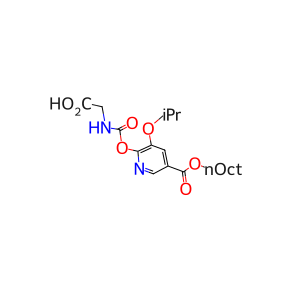 CCCCCCCCOC(=O)c1cnc(OC(=O)NCC(=O)O)c(OC(C)C)c1